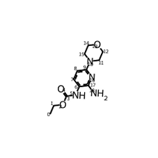 CCOC(=O)Nc1ccc(N2CCOCC2)nc1N